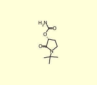 CC(C)(C)N1CC[C@@H](OC(N)=O)C1=O